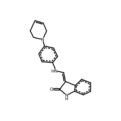 O=C1Nc2ccccc2C1=CNc1ccc(N2CC=CCC2)cc1